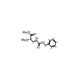 COC(=O)[C@H](CNC(=O)OCc1ccccc1)OC